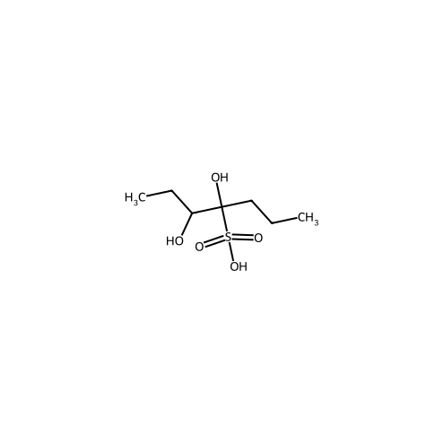 CCCC(O)([C](O)CC)S(=O)(=O)O